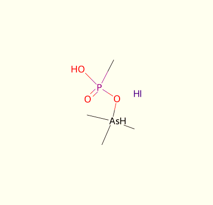 CP(=O)(O)O[AsH](C)(C)C.I